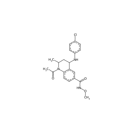 CONC(=O)c1ccc2c(c1)C(Nc1ccc(Cl)cc1)CC(C)N2C(C)=O